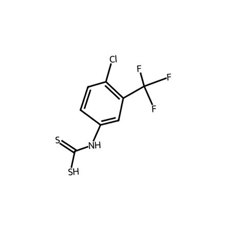 FC(F)(F)c1cc(NC(=S)S)ccc1Cl